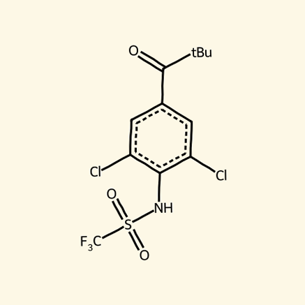 CC(C)(C)C(=O)c1cc(Cl)c(NS(=O)(=O)C(F)(F)F)c(Cl)c1